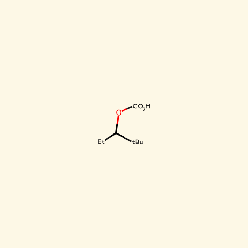 CCC(OC(=O)O)C(C)(C)C